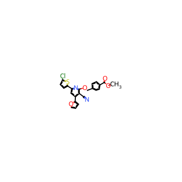 COC(=O)c1ccc(COc2nc(-c3ccc(Cl)s3)cc(-c3ccco3)c2C#N)cc1